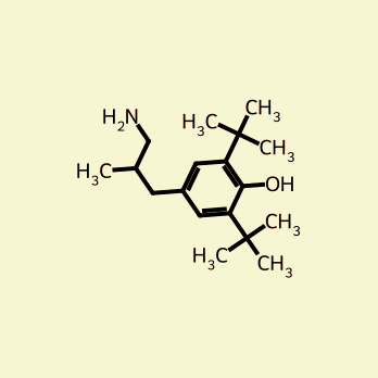 CC(CN)Cc1cc(C(C)(C)C)c(O)c(C(C)(C)C)c1